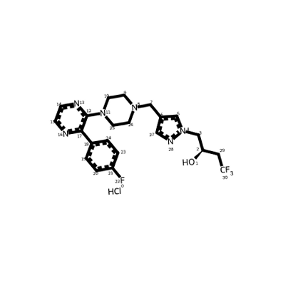 Cl.O[C@@H](Cn1cc(CN2CCN(c3nccnc3-c3ccc(F)cc3)CC2)cn1)CC(F)(F)F